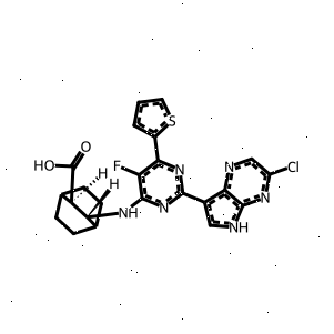 O=C(O)[C@@H]1C2CCC(CC2)[C@H]1Nc1nc(-c2c[nH]c3nc(Cl)cnc23)nc(-c2cccs2)c1F